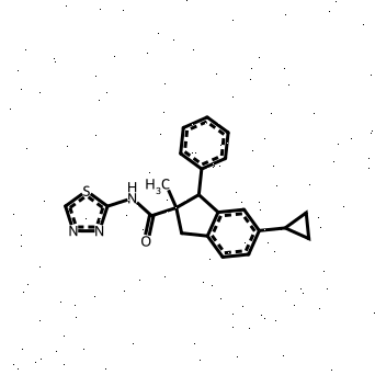 CC1(C(=O)Nc2nncs2)Cc2ccc(C3CC3)cc2C1c1ccccc1